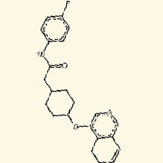 O=C(CC1CCC(Oc2cncc3c2CCC=C3)CC1)Nc1ccc(F)cc1